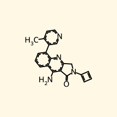 Cc1ccncc1-c1cccc2c(N)c3c(nc12)CN(C1=CC=C1)C3=O